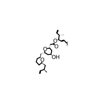 C=C[C@H](C)C[C@H]1CCC[C@@H](C[C@H]2C[C@@H](O)C[C@@H](CC(=O)O[C@@H](/C=C/I)[C@@H](C)C=C)O2)O1